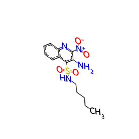 CCCCCNS(=O)(=O)c1c(N)c([N+](=O)[O-])nc2ccccc12